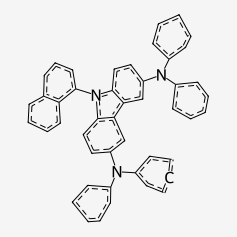 c1ccc(N(c2ccccc2)c2ccc3c(c2)c2cc(N(c4ccccc4)c4ccccc4)ccc2n3-c2cccc3ccccc23)cc1